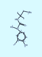 CC(C)(C)CC(C)(C)NC(=O)N(S)c1ccc(O)c(F)c1